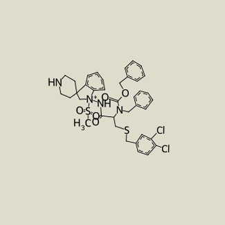 CS(=O)(=O)[N+]1(NC(=O)C(CSCc2ccc(Cl)c(Cl)c2)N(Cc2ccccc2)C(=O)OCc2ccccc2)CC2(CCNCC2)c2ccccc21